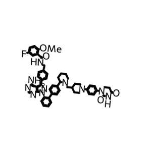 COc1ccc(F)cc1C(=O)NCc1ccc(-c2nn(-c3ccccc3-c3ccc(C4CCCCN4CC4CCN(c5ccc(N6CCC(=O)NC6=O)cc5)CC4)cc3)c3ncnc(N)c23)cc1